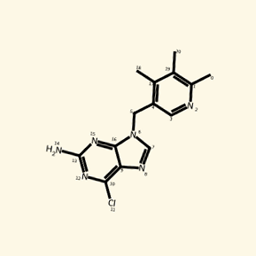 Cc1ncc(Cn2cnc3c(Cl)nc(N)nc32)c(C)c1C